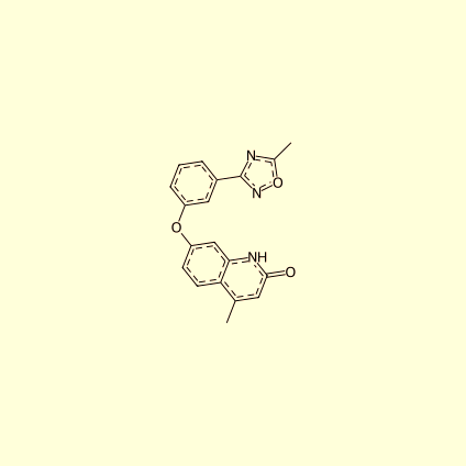 Cc1nc(-c2cccc(Oc3ccc4c(C)cc(=O)[nH]c4c3)c2)no1